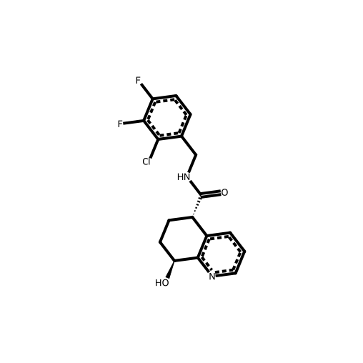 O=C(NCc1ccc(F)c(F)c1Cl)[C@H]1CC[C@H](O)c2ncccc21